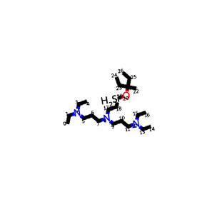 CCN(CC)CCCN(CCCN(CC)CC)CC[SiH2]OC(C)(CC)CC